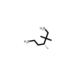 BCC[C@@H](C)C(C)(C)CB